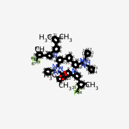 Cc1cc(C)cc(-c2ccc3c(c2)c2cc(-c4cc(C)cc(C(F)(F)F)c4)ccc2n3-c2cc(-c3cccc(-c4cc(-c5nc(-c6ccccc6)nc(-c6ccccc6)n5)cc(-n5c6ccc(-c7cc(C)cc(C)c7)cc6c6cc(-c7cc(C)cc(C(F)(F)F)c7)ccc65)c4)c3)cc(-c3nc(-c4ccccc4)nc(-c4ccccc4)n3)c2)c1